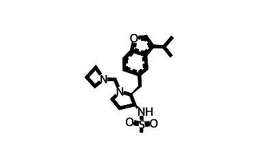 CC(C)c1coc2ccc(C[C@H]3[C@@H](NS(C)(=O)=O)CCN3CN3CCC3)cc12